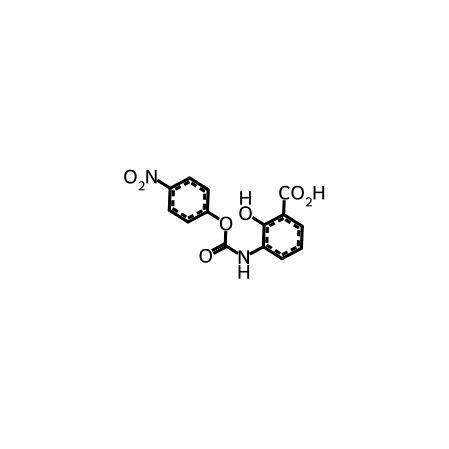 O=C(Nc1cccc(C(=O)O)c1O)Oc1ccc([N+](=O)[O-])cc1